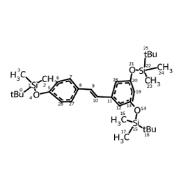 CC(C)(C)[Si](C)(C)Oc1ccc(/C=C/c2cc(O[Si](C)(C)C(C)(C)C)cc(O[Si](C)(C)C(C)(C)C)c2)cc1